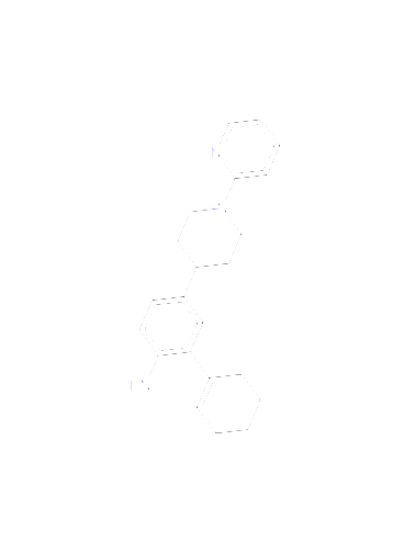 Nc1ccc(C2CCN(c3ccccn3)CC2)cc1C1=CCCCC1